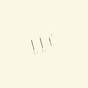 CCC.CCC.[SiH3]Cl